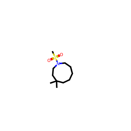 CC1(C)CCCCCN(S(C)(=O)=O)CC1